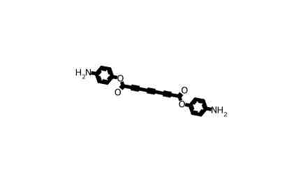 Nc1ccc(OC(=O)C#CC#CC#CC(=O)Oc2ccc(N)cc2)cc1